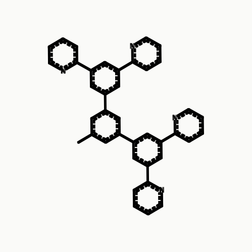 Cc1cc(-c2cc(-c3ccccn3)cc(-c3ccccn3)c2)cc(-c2cc(-c3ccccn3)cc(-c3ccccn3)c2)c1